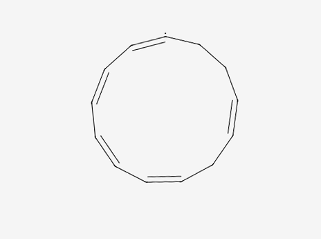 [C]1=CC=CC=CC=CCC=CCC1